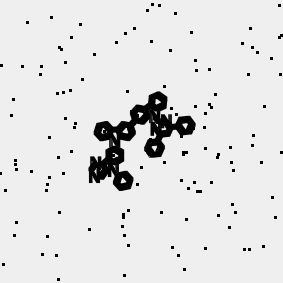 c1ccc(-c2cc(-c3ccccc3)nc(-n3c4ccccc4c4ccc(-c5ccc6c(c5)c5ccccc5n6-c5ccc6c(c5)c5ncncc5n6-c5ccccc5)cc43)n2)cc1